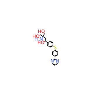 NC(CO)(CO)CC(O)c1ccc(Sc2ccc(-c3ncccn3)cc2)cc1